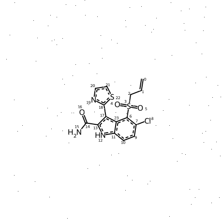 C=CCS(=O)(=O)c1c(Cl)ccc2[nH]c(C(N)=O)c(-c3nccs3)c12